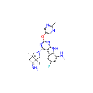 CNc1cc(F)cc2c1[nH]c1nc(Oc3cnc(C)nc3)nc(N3C[C@H]4[C@@H](N)C[C@@]4(C)C3)c12